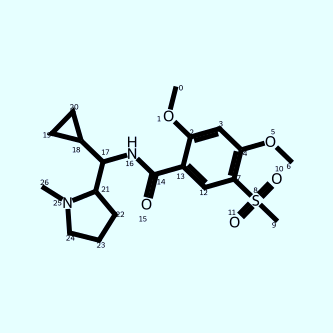 COc1cc(OC)c(S(C)(=O)=O)cc1C(=O)NC(C1CC1)C1CCCN1C